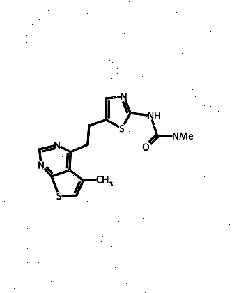 CNC(=O)Nc1ncc(CCc2ncnc3scc(C)c23)s1